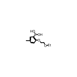 CCOCCOc1ccc(C)cc1B(O)O